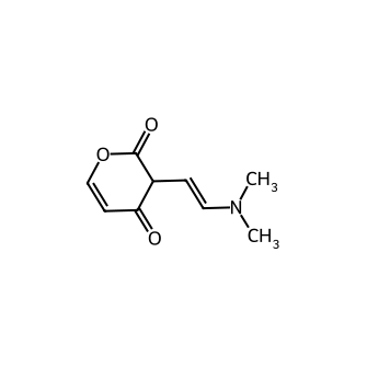 CN(C)C=CC1C(=O)C=COC1=O